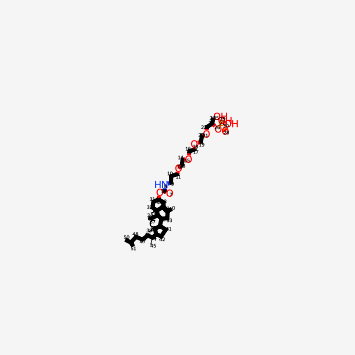 CC1=C2CC(OC(=O)NCCCOCCOCCOCCOCC(CO)OP(=O)(O)O)CC[C@]2(C)C2CC[C@@]3(C)C(CCC3[C@H](C)CCCC(C)C)C2C1